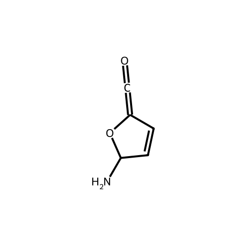 NC1C=CC(=C=O)O1